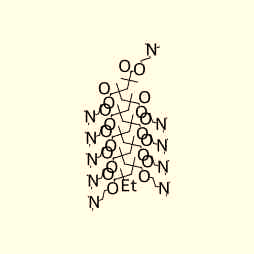 CCC(C)(CC(C)(CC(C)(CC(C)(CC(C)(CC(C)(CC(C)(CC(C)(CC(C)(CC(C)(C)C(=O)OCCN(C)C)C(=O)OCCN(C)C)C(=O)OCCN(C)C)C(=O)OCCN(C)C)C(=O)OCCN(C)C)C(=O)OCCN(C)C)C(=O)OCCN(C)C)C(=O)OCCN(C)C)C(=O)OCCN(C)C)C(=O)OCCN(C)C